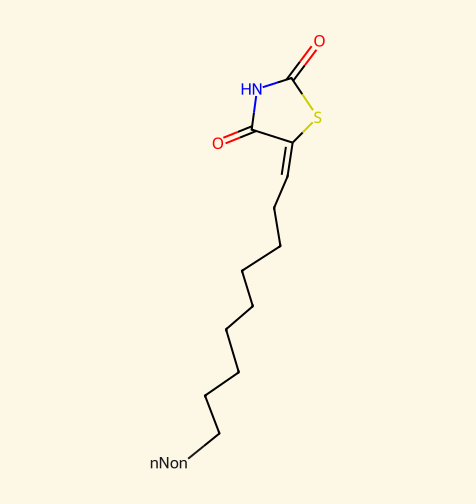 CCCCCCCCCCCCCCCCCC=C1SC(=O)NC1=O